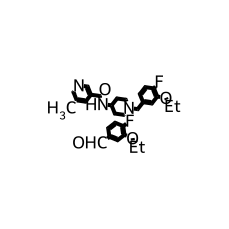 CCOc1cc(C=O)ccc1F.CCOc1cc(CN2CCC(NC(=O)c3cncc(C)c3)CC2)ccc1F